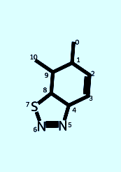 CC1C=CC2N=NSC2C1C